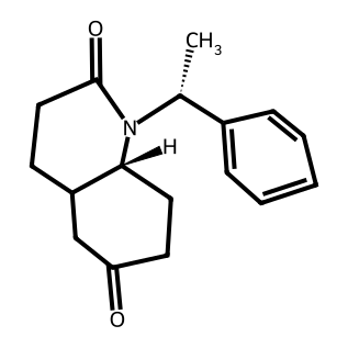 C[C@H](c1ccccc1)N1C(=O)CCC2CC(=O)CC[C@H]21